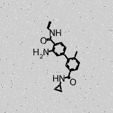 C=CNC(=O)c1ccc(-c2cc(C(=O)NC3CC3)ccc2C)cc1N